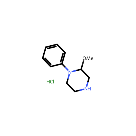 COC1CNCCN1c1ccccc1.Cl